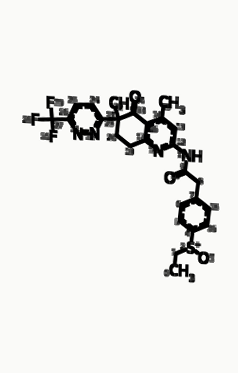 CC[S+]([O-])c1ccc(CC(=O)Nc2cc(C)c3c(n2)CCC(C)(c2ccc(C(F)(F)F)nn2)C3=O)cc1